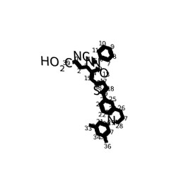 [C-]#[N+]/C(=C\C1=NN(c2ccccc2)C(=O)/C1=C\c1ccc(-c2ccc3c(c2)CCCN3c2cc(C)cc(C)c2)s1)C(=O)O